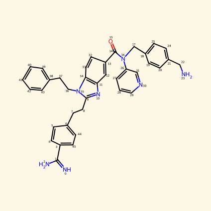 N=C(N)c1ccc(CCc2nc3cc(C(=O)N(Cc4ccc(CN)cc4)c4cccnc4)ccc3n2CCc2ccccc2)cc1